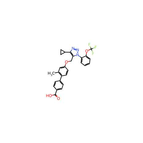 Cc1cc(OCc2c(C3CC3)nnn2-c2ccccc2OC(F)(F)F)ccc1-c1ccc(C(=O)O)cc1